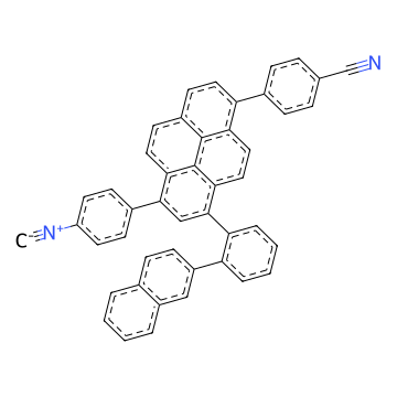 [C-]#[N+]c1ccc(-c2cc(-c3ccccc3-c3ccc4ccccc4c3)c3ccc4c(-c5ccc(C#N)cc5)ccc5ccc2c3c54)cc1